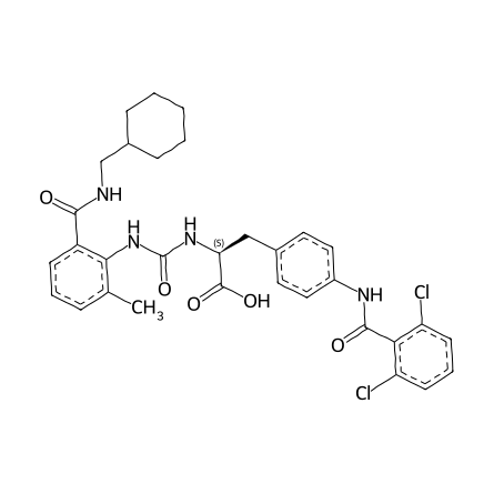 Cc1cccc(C(=O)NCC2CCCCC2)c1NC(=O)N[C@@H](Cc1ccc(NC(=O)c2c(Cl)cccc2Cl)cc1)C(=O)O